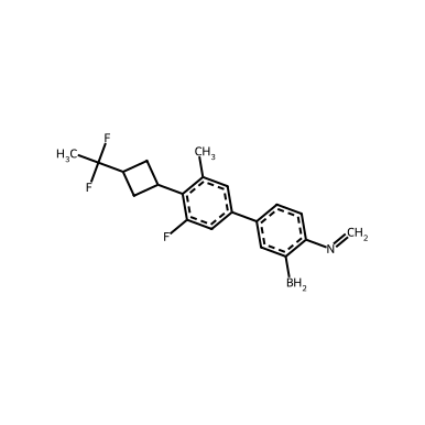 Bc1cc(-c2cc(C)c(C3CC(C(C)(F)F)C3)c(F)c2)ccc1N=C